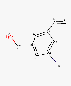 C=[C]c1cc(I)cc(CO)c1